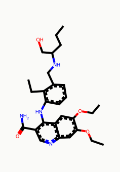 CCCC(CO)NCc1cccc(Nc2c(C(N)=O)cnc3cc(OCC)c(OCC)cc23)c1CC